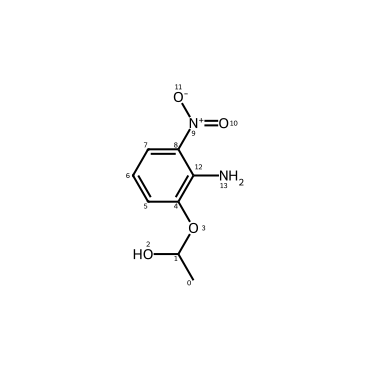 CC(O)Oc1cccc([N+](=O)[O-])c1N